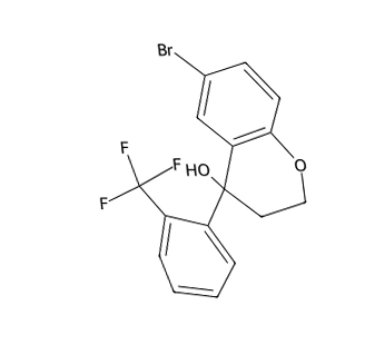 OC1(c2ccccc2C(F)(F)F)CCOc2ccc(Br)cc21